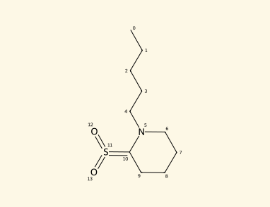 CCCCCN1CCCCC1=S(=O)=O